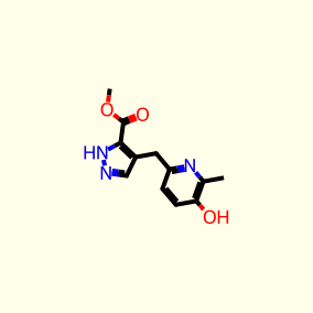 COC(=O)c1[nH]ncc1Cc1ccc(O)c(C)n1